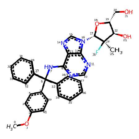 COc1ccc(C(Nc2ncnc3c2ncn3[C@@H]2O[C@H](CO)[C@@H](O)[C@@]2(C)F)(c2ccccc2)c2ccccc2)cc1